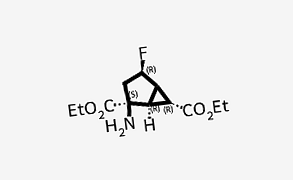 CCOC(=O)[C@H]1C2[C@H](F)C[C@@](N)(C(=O)OCC)[C@@H]21